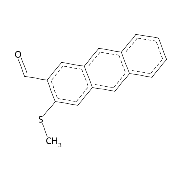 CSc1cc2cc3ccccc3cc2cc1C=O